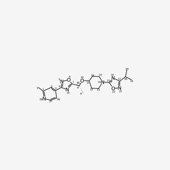 Cc1cc(-c2noc([C@@H](C)OC3CCN(c4nc(C(C)C)no4)CC3)n2)ccn1